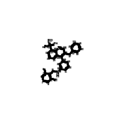 Cc1cccc(C)c1CNc1cccc(-c2c(Cc3ccccc3)cnc3c(C(F)(F)F)cccc23)c1